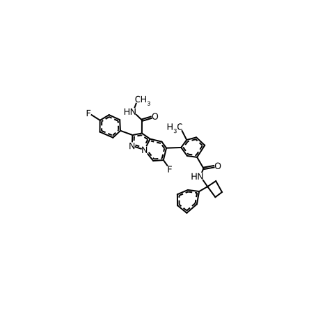 CNC(=O)c1c(-c2ccc(F)cc2)nn2cc(F)c(-c3cc(C(=O)NC4(c5ccccc5)CCC4)ccc3C)cc12